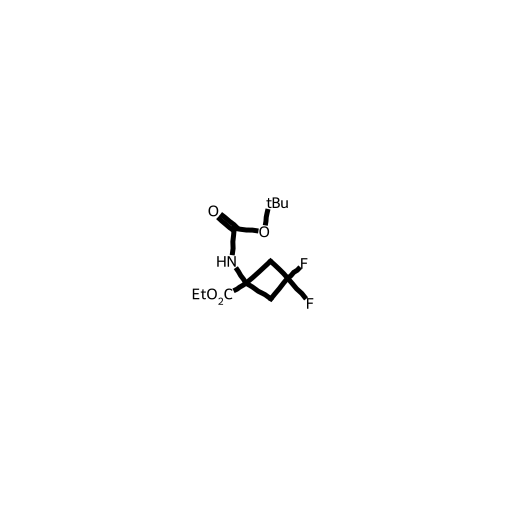 CCOC(=O)C1(NC(=O)OC(C)(C)C)CC(F)(F)C1